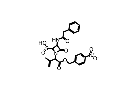 C=C(C)C(C(=O)OCc1ccc([N+](=O)[O-])cc1)N1C(=O)C(NC(=O)Cc2ccccc2)C1S(=O)O